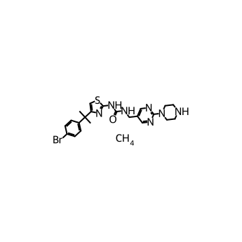 C.CC(C)(c1ccc(Br)cc1)c1csc(NC(=O)NCc2cnc(N3CCNCC3)nc2)n1